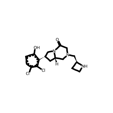 O=C1CN(C[C@@H]2CCN2)C[C@@H]2C[C@H](c3c(O)ccc(Cl)c3Cl)CN12